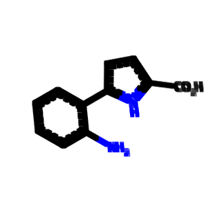 Nc1ccccc1-c1ccc(C(=O)O)[nH]1